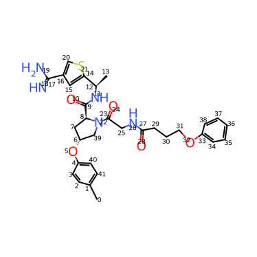 Cc1ccc(O[C@@H]2C[C@@H](C(=O)N[C@H](C)c3cc(C(=N)N)cs3)N(C(=O)CNC(=O)CCCOc3ccccc3)C2)cc1